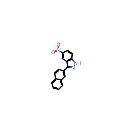 O=[N+]([O-])c1ccc2[nH]nc(-c3ccc4ccccc4c3)c2c1